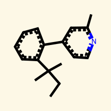 CCC(C)(C)c1ccccc1-c1ccnc(C)c1